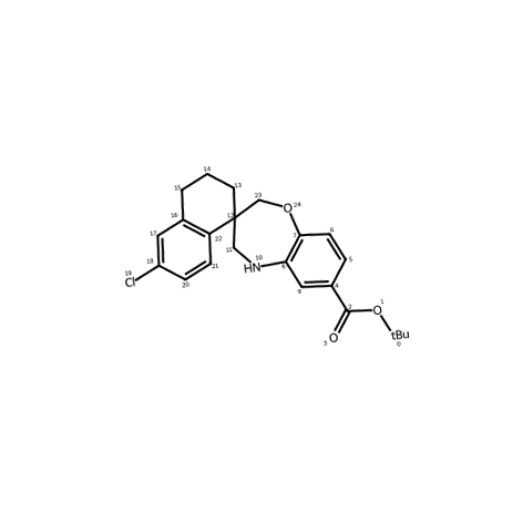 CC(C)(C)OC(=O)c1ccc2c(c1)NCC1(CCCc3cc(Cl)ccc31)CO2